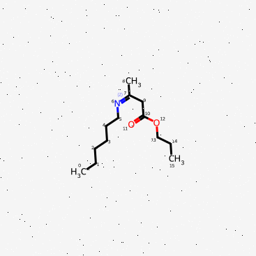 CCCCCC/N=C(/C)CC(=O)OCCC